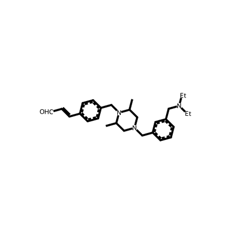 CCN(CC)Cc1cccc(CN2CC(C)N(Cc3ccc(/C=C/C=O)cc3)C(C)C2)c1